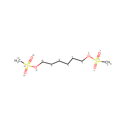 CS(=O)(=O)OCCCCCCOS(C)(=O)=O